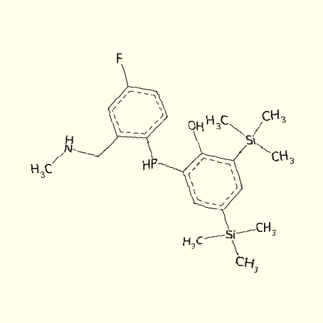 CNCc1cc(F)ccc1Pc1cc([Si](C)(C)C)cc([Si](C)(C)C)c1O